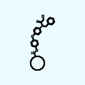 O=C(CCl)N(Cc1ccccc1)c1ccc(Oc2ccc(OBC3CCCCCCCCCCC3)cc2)cc1